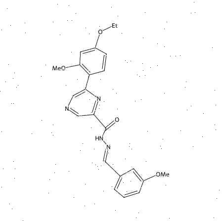 CCOc1ccc(-c2cncc(C(=O)N/N=C/c3cccc(OC)c3)n2)c(OC)c1